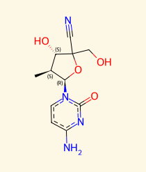 C[C@@H]1[C@H](n2ccc(N)nc2=O)OC(C#N)(CO)[C@H]1O